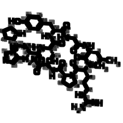 CC(C)C[C@H](NC(=O)CNC(=O)[C@H](Cc1ccc(O)cc1)NC(=O)[C@H](CO)NC(=O)[C@H](Cc1cnc[nH]1)NC(=O)[C@@H]1CCCN1)C(=O)N[C@@H](CCCNC(=N)N)C(=O)N1CCC[C@H]1C(=O)NCC(N)=O